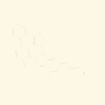 Cn1cnnc1-c1c(-c2ccccc2)ccc(F)c1-c1nc2cc(CNCC(C)(C)O)cc(F)c2o1